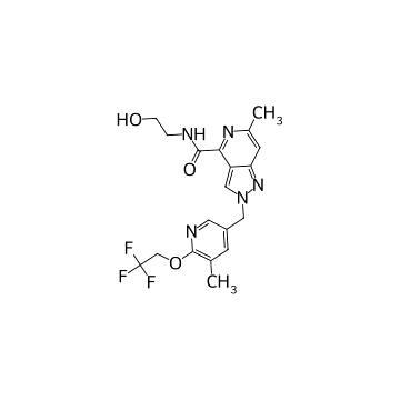 Cc1cc2nn(Cc3cnc(OCC(F)(F)F)c(C)c3)cc2c(C(=O)NCCO)n1